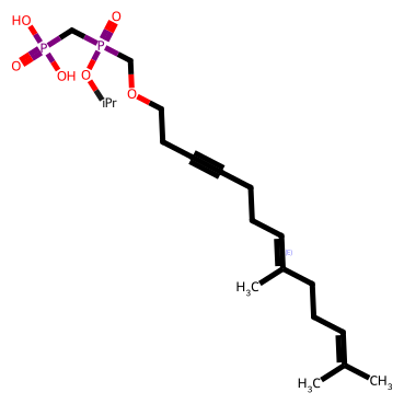 CC(C)=CCC/C(C)=C/CCC#CCCOCP(=O)(CP(=O)(O)O)OC(C)C